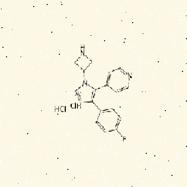 Cl.Cl.Fc1ccc(-c2ccn(C3CNC3)c2-c2ccncc2)cc1